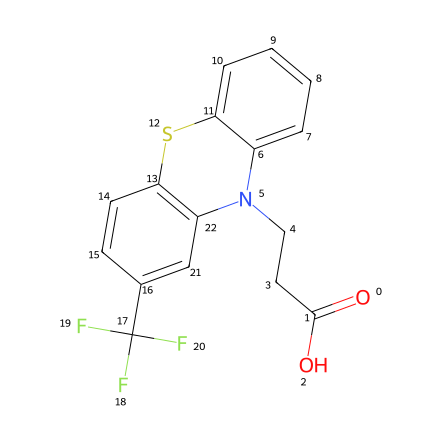 O=C(O)CCN1c2ccccc2Sc2ccc(C(F)(F)F)cc21